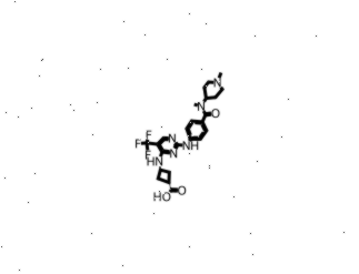 CN1CCC(N(C)C(=O)c2ccc(Nc3ncc(C(F)(F)F)c(N[C@H]4C[C@@H](C(=O)O)C4)n3)cc2)CC1